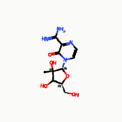 C[C@]1(O)C(O)[C@@H](CO)O[C@H]1n1ccnc(C(=N)N)c1=O